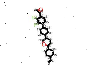 C=CC1CCC(C2CCC(C3CC=C(c4ccc(C5CO5)c(F)c4F)CC3)CO2)CC1